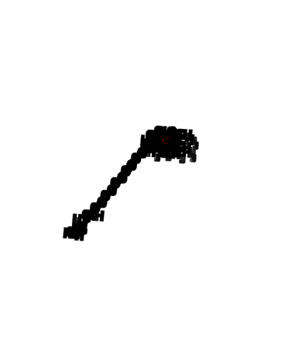 CCN(CC)CCCC[C@H](NC(=O)[C@H](CC(C)C)NC(=O)[C@H](C)NC(=O)[C@H](Cc1ccccc1)NC(=O)c1ccc(C(C)(C)C)cc1)C(=O)N[C@@H](CO)C(=O)NCCOCCOCCOCCOCCOCCOCCOCCOCCOCCOCCOCCNC(=O)CCCC[C@@H]1SC[C@@H]2NC(=O)N[C@@H]21